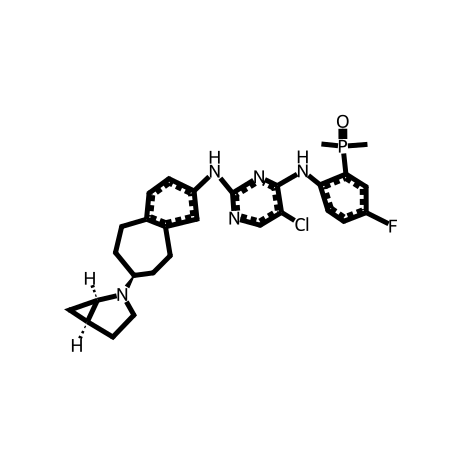 CP(C)(=O)c1cc(F)ccc1Nc1nc(Nc2ccc3c(c2)CC[C@@H](N2CC[C@H]4C[C@H]42)CC3)ncc1Cl